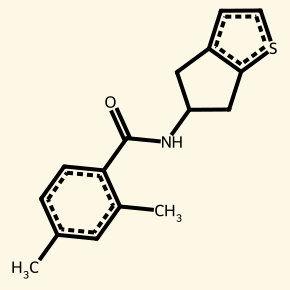 Cc1ccc(C(=O)NC2Cc3ccsc3C2)c(C)c1